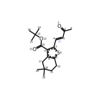 CC(=O)/C=C/c1sc2c(c1C(=O)OC(C)(C)C)CC(C)(C)CC2